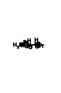 CC(C)S(=O)(=O)NCCCCC(=O)Nc1cccc(-c2nn(C)cc2Br)c1